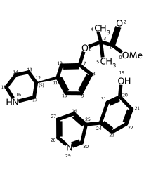 COC(=O)C(C)(C)Oc1cccc([C@@H]2CCCNC2)c1.Oc1cccc(-c2cccnc2)c1